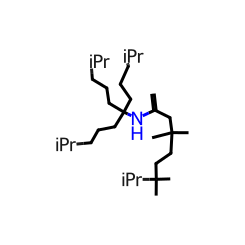 C=C(CC(C)(C)CCC(C)(C)C(C)C)NC(CCCC(C)C)(CCCC(C)C)CCCC(C)C